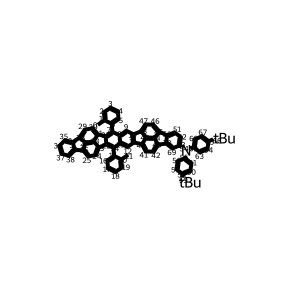 Cc1ccccc1-c1c2cc3c(cc2c(-c2ccccc2C)c2c4ccc5c6c(ccc(c12)c64)-c1ccccc1-5)c1ccc2c4c(ccc3c41)-c1ccc(N(c3ccc(C(C)(C)C)cc3)c3ccc(C(C)(C)C)cc3)cc1-2